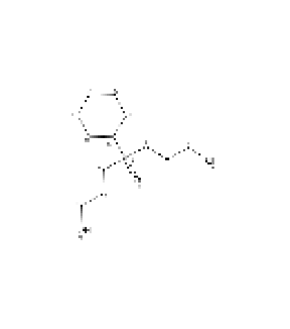 O=P(CCCO)(CCCO)C1CCCCC1